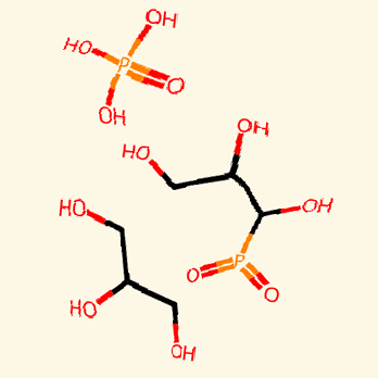 O=P(=O)C(O)C(O)CO.O=P(O)(O)O.OCC(O)CO